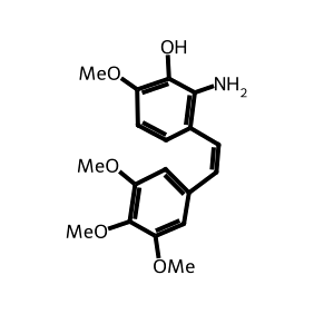 COc1ccc(/C=C\c2cc(OC)c(OC)c(OC)c2)c(N)c1O